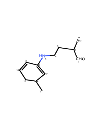 CC(=O)C(C=O)CCNC1=CC(C)CC=C1